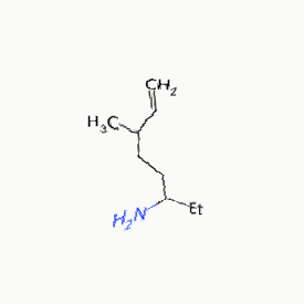 C=CC(C)CCC(N)CC